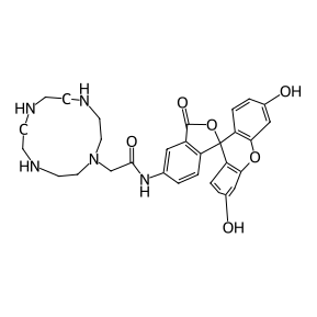 O=C(CN1CCNCCNCCNCC1)Nc1ccc2c(c1)C(=O)OC21c2ccc(O)cc2Oc2cc(O)ccc21